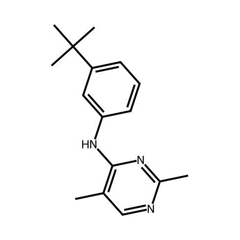 Cc1ncc(C)c(Nc2cccc(C(C)(C)C)c2)n1